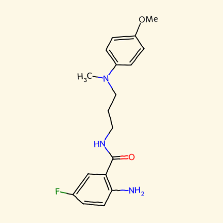 COc1ccc(N(C)CCCNC(=O)c2cc(F)ccc2N)cc1